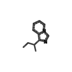 CCC(C)c1ncn2ccccc12